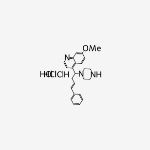 COc1ccc2c(C(CC=Cc3ccccc3)N3CCNCC3)ccnc2c1.Cl.Cl.Cl